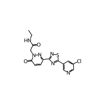 CCNC(=O)Cn1nc(-c2nsc(-c3cncc(Cl)c3)n2)ccc1=O